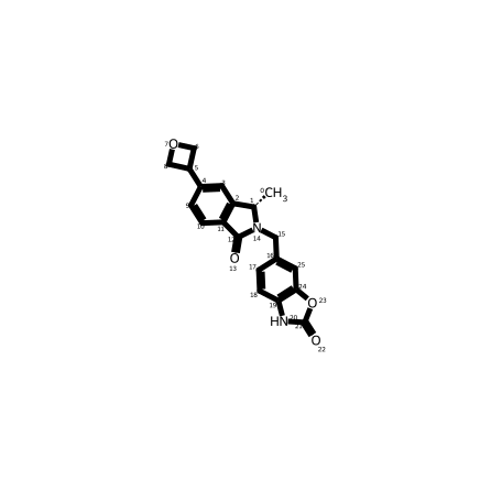 C[C@H]1c2cc(C3COC3)ccc2C(=O)N1Cc1ccc2[nH]c(=O)oc2c1